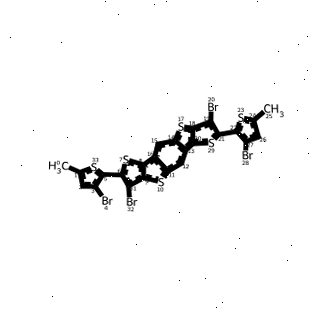 Cc1cc(Br)c(-c2sc3c(sc4cc5c(cc43)sc3c(Br)c(-c4sc(C)cc4Br)sc35)c2Br)s1